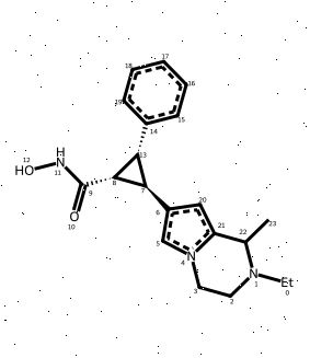 CCN1CCn2cc([C@H]3[C@H](C(=O)NO)[C@@H]3c3ccccc3)cc2C1C